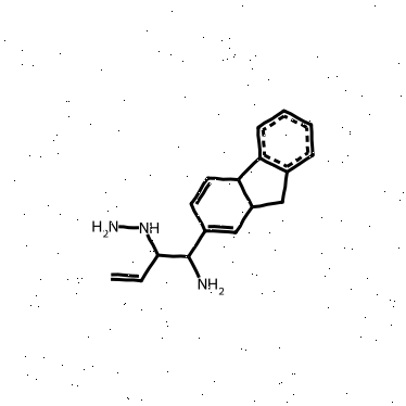 C=CC(NN)C(N)C1=CC2Cc3ccccc3C2C=C1